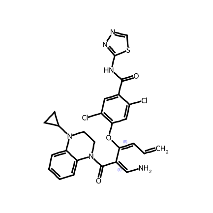 C=C/C=C(Oc1cc(Cl)c(C(=O)Nc2nncs2)cc1Cl)\C(=C/N)C(=O)N1CCN(C2CC2)c2ccccc21